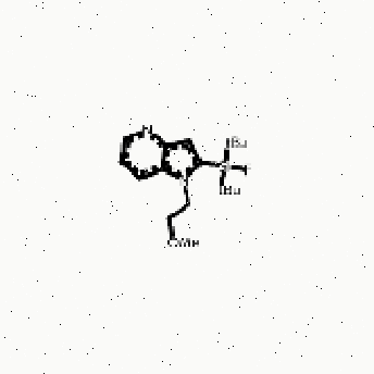 COCCn1c([Si](F)(C(C)(C)C)C(C)(C)C)cc2ncccc21